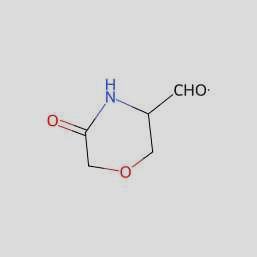 O=[C]C1COCC(=O)N1